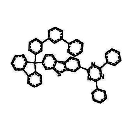 c1ccc(-c2cccc(-c3cccc(C4(c5ccc6c(c5)sc5cc(-c7nc(-c8ccccc8)nc(-c8ccccc8)n7)ccc56)c5ccccc5-c5ccccc54)c3)c2)cc1